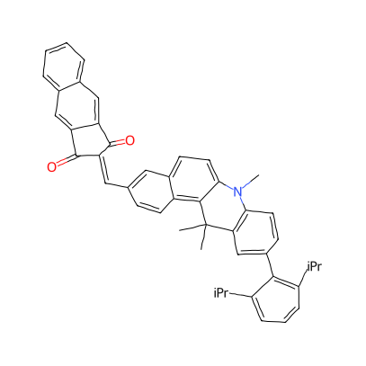 CC(C)c1cccc(C(C)C)c1-c1ccc2c(c1)C(C)(C)c1c(ccc3cc(C=C4C(=O)c5cc6ccccc6cc5C4=O)ccc13)N2C